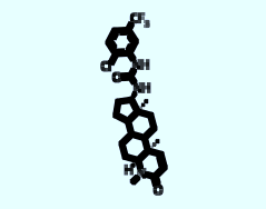 CN1C(=O)C=C[C@]2(C)C3CC[C@@]4(C)C(CC[C@H]4NC(=O)Nc4cc(C(F)(F)F)ccc4Cl)C3CC[C@H]12